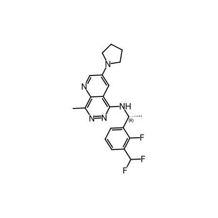 Cc1nnc(N[C@H](C)c2cccc(C(F)F)c2F)c2cc(N3CCCC3)cnc12